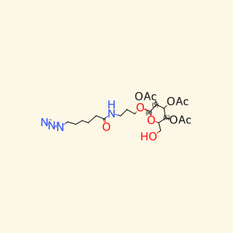 CC(=O)OC1[C@@H](OC(C)=O)C(CO)O[C@@H](OCCCNC(=O)CCCCCN=[N+]=[N-])[C@H]1OC(C)=O